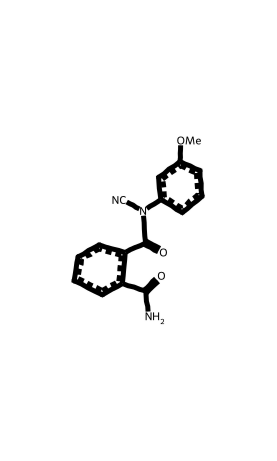 COc1cccc(N(C#N)C(=O)c2ccccc2C(N)=O)c1